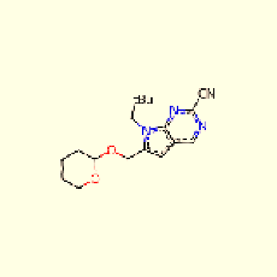 CC(C)(C)Cn1c(COC2CCCCO2)cc2cnc(C#N)nc21